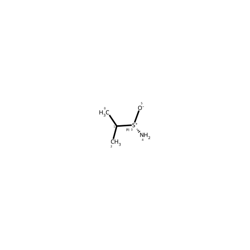 CC(C)[S@@+](N)[O-]